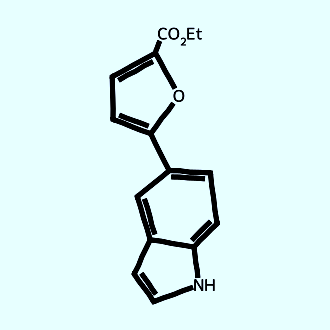 CCOC(=O)c1ccc(-c2ccc3[nH]ccc3c2)o1